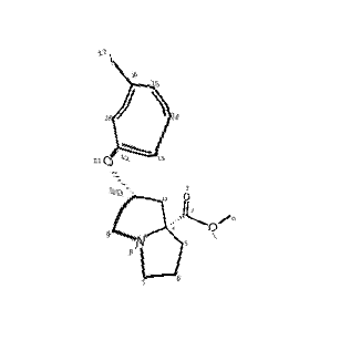 COC(=O)[C@]12CCCN1C[C@H](Oc1cccc(I)c1)C2